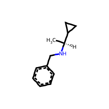 [2H][C@@](C)(NCc1ccccc1)C1CC1